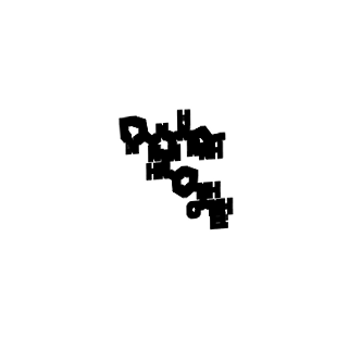 CCNC(=O)Nc1ccc(Nc2nc(Nc3cc(C)[nH]n3)nc(-c3ccccn3)n2)cc1